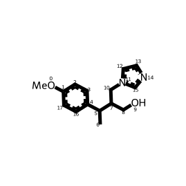 COc1ccc(C(C)C(CO)Cn2ccnc2)cc1